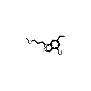 CCc1cc(Cl)c2cnn(CCCOC)c2c1